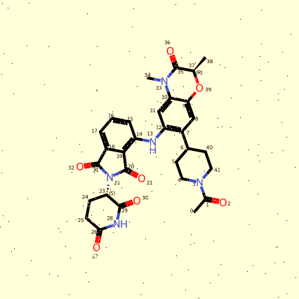 CC(=O)N1CCC(c2cc3c(cc2Nc2cccc4c2C(=O)N([C@H]2CCC(=O)NC2=O)C4=O)N(C)C(=O)[C@@H](C)O3)CC1